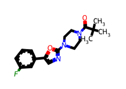 CC(C)(C)C(=O)N1CCN(c2ncc(-c3cccc(F)c3)o2)CC1